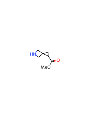 COC(=O)C1CC12CNC2